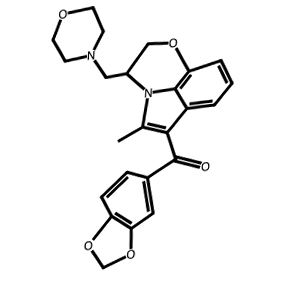 Cc1c(C(=O)c2ccc3c(c2)OCO3)c2cccc3c2n1C(CN1CCOCC1)CO3